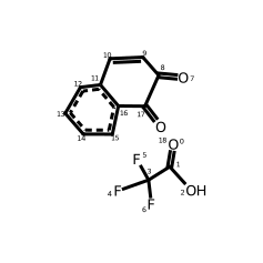 O=C(O)C(F)(F)F.O=C1C=Cc2ccccc2C1=O